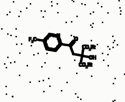 CCOC(=O)C(O)(CC(=O)c1ccc(C(F)(F)F)cn1)C(=O)OCC